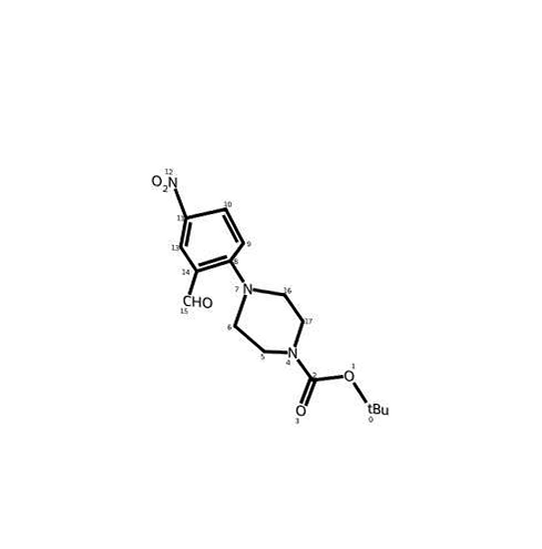 CC(C)(C)OC(=O)N1CCN(c2ccc([N+](=O)[O-])cc2C=O)CC1